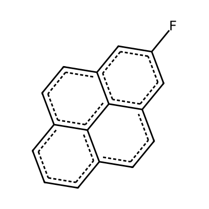 Fc1cc2ccc3cccc4ccc(c1)c2c34